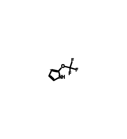 FC(F)(F)Oc1[c]cc[nH]1